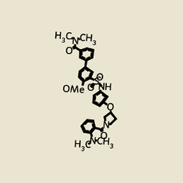 COc1ccc(-c2cccc(C(=O)N(C)C)c2)cc1S(=O)(=O)Nc1cccc(O[C@H]2CCN(C(=O)c3ccccc3N(C)C)C2)c1